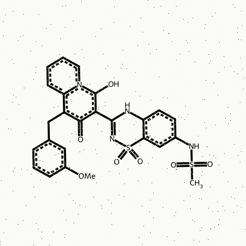 COc1cccc(Cc2c(=O)c(C3=NS(=O)(=O)c4cc(NS(C)(=O)=O)ccc4N3)c(O)n3ccccc23)c1